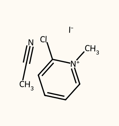 CC#N.C[n+]1ccccc1Cl.[I-]